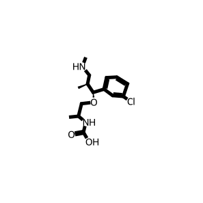 CNC[C@H](C)[C@@H](OCC(C)NC(=O)O)c1cccc(Cl)c1